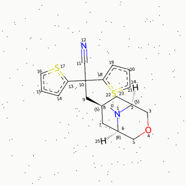 CN1[C@@H]2COC[C@H]1C[C@@H](CC(C#N)(c1cccs1)c1cccs1)C2